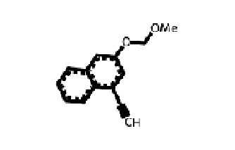 C#Cc1cc(OCOC)cc2ccccc12